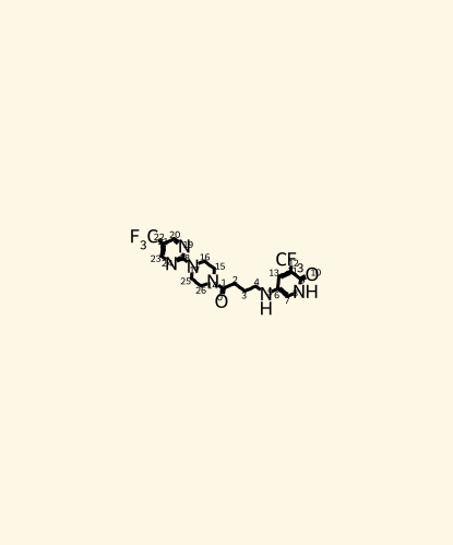 O=C(CCCNc1c[nH]c(=O)c(C(F)(F)F)c1)N1CCN(c2ncc(C(F)(F)F)cn2)CC1